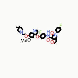 COc1cc2c(Oc3ccc(NC(=O)c4c5c(cn(-c6ccc(F)cc6)c4=O)CCO5)cc3F)ccnc2cc1OCCN1CCC(C)(C)CC1